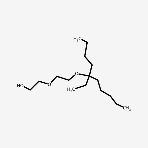 CCCCCC(CC)(CCCC)OCCOCCO